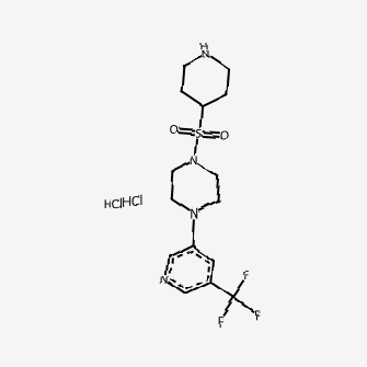 Cl.Cl.O=S(=O)(C1CCNCC1)N1CCN(c2cncc(C(F)(F)F)c2)CC1